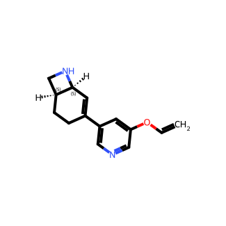 C=COc1cncc(C2=C[C@@H]3NC[C@@H]3CC2)c1